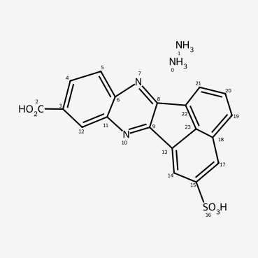 N.N.O=C(O)c1ccc2nc3c(nc2c1)-c1cc(S(=O)(=O)O)cc2cccc-3c12